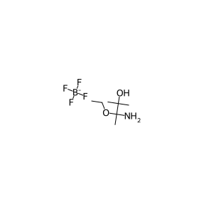 CCOC(C)(N)C(C)(C)O.F[B-](F)(F)F